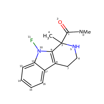 CNC(=O)C1(C)NCCc2c1n(F)c1ccccc21